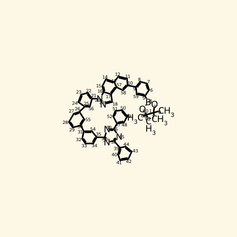 CC1(C)OB(c2cccc(-c3ccc4ccc5c(cnn5-c5cccc(-c6cccc(-c7cccc(-c8nc(-c9ccccc9)nc(-c9ccccc9)n8)c7)c6)c5)c4c3)c2)OC1(C)C